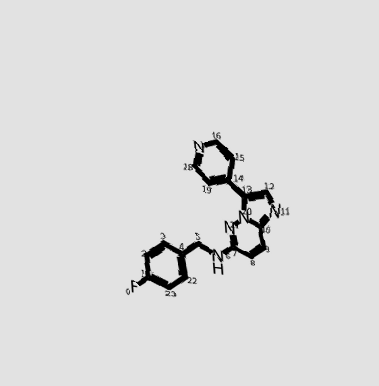 Fc1ccc(CNc2ccc3ncc(-c4ccncc4)n3n2)cc1